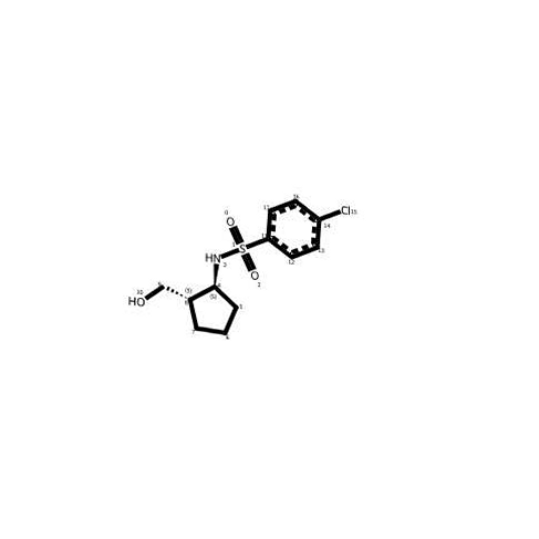 O=S(=O)(N[C@H]1CCC[C@@H]1CO)c1ccc(Cl)cc1